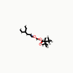 CCC(CC)C/C=C/OCOC(=O)C(C)(C(C)(C)C)C(C)(C)C